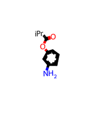 CC(C)C(=O)Oc1cccc(N)c1